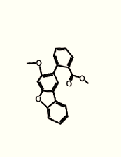 COC(=O)c1ccccc1-c1cc2c(cc1OC)oc1ccccc12